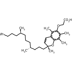 Cc1c(C)c2c(c(C)c1OCC(=O)O)C=C[C@@](C)(CCC[C@H](C)CCC[C@H](C)CCCC(C)C)O2